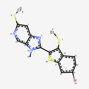 CCSc1c(-c2nc3cc(SC(F)(F)F)ncc3n2C)sc2cc(Br)ccc12